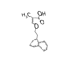 CC(=COCCc1cccc2ccccc12)C(=O)O